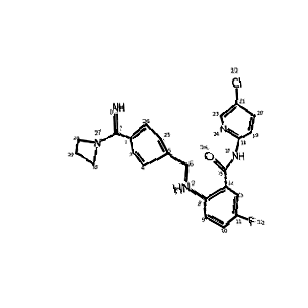 N=C(c1ccc(CNc2ccc(F)cc2C(=O)Nc2ccc(Cl)cn2)cc1)N1CCC1